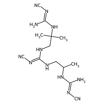 CC(CN/C(=N/C#N)NCC(C)(C)N/C(N)=N/C#N)N/C(N)=N/C#N